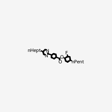 CCCCCCCc1cnc(-c2ccc(C(=O)Oc3ccc(CCCCC)cc3F)cc2)nc1